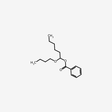 CCCCCC(OCCCC)OC(=O)c1ccccc1